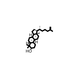 C=C(C)CCC[C@@H](C)[C@@H]1CC[C@]2(C)[C@@H]3CC[C@H]4C(C)(C)[C@H](O)CC[C@]4(C)[C@H]3CC[C@@]12C